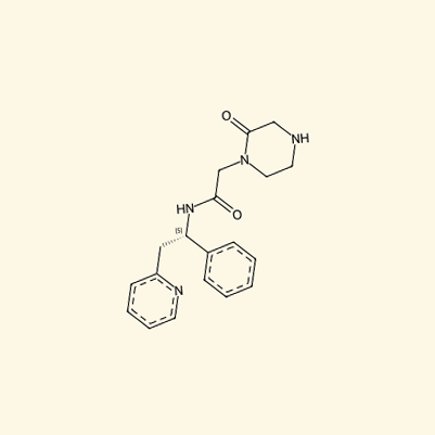 O=C(CN1CCNCC1=O)N[C@@H](Cc1ccccn1)c1ccccc1